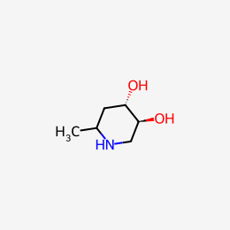 CC1C[C@H](O)[C@@H](O)CN1